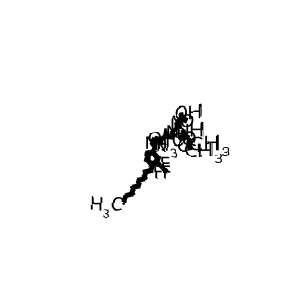 CCCCCCCCCCc1ccc(-c2noc(C3CN(/C(=N/C(=O)O)NC(=O)OC(C)(C)C)C3)n2)cc1C(F)(F)F